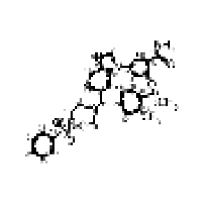 C[C@@H](Oc1cc(-n2cnc3cnc(CN4CCN(S(=O)(=O)c5ccccc5)CC4)cc32)sc1C(N)=O)c1ccccc1C(F)(F)F